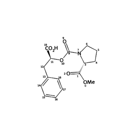 COC(=O)[C@H]1CCCN1C(=O)O[C@@H](Cc1ccccc1)C(=O)O